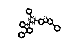 c1ccc(-c2ccc3oc4cc(-c5nc(-c6ccccc6)nc(-n6c7ccccc7c7c(-c8ccccc8)cccc76)n5)ccc4c3c2)cc1